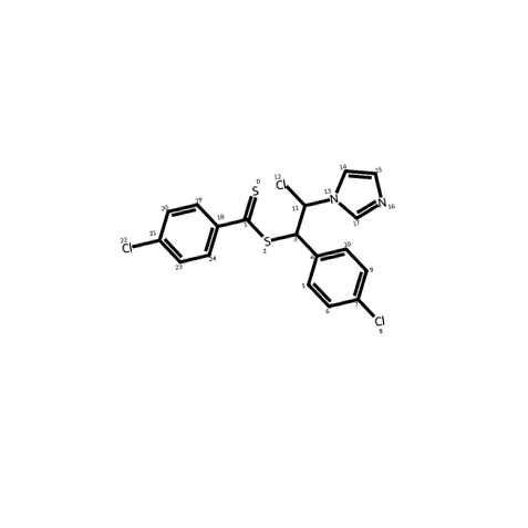 S=C(SC(c1ccc(Cl)cc1)C(Cl)n1ccnc1)c1ccc(Cl)cc1